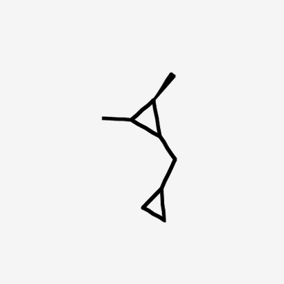 CC1C(CC2CC2)[C@@H]1C